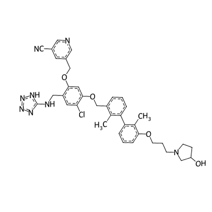 Cc1c(COc2cc(OCc3cncc(C#N)c3)c(CNc3nnn[nH]3)cc2Cl)cccc1-c1cccc(OCCCN2CCC(O)C2)c1C